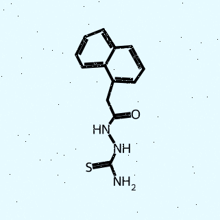 NC(=S)NNC(=O)Cc1cccc2ccccc12